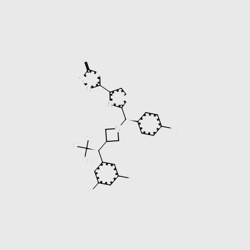 CC(C)(F)[C@H](c1cc(F)cc(F)c1)C1CN([C@H](c2ccc(Cl)cc2)c2nc(-c3n[nH]c(=O)o3)cs2)C1